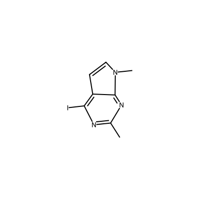 Cc1nc(I)c2ccn(C)c2n1